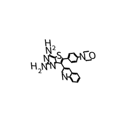 Nc1nc(N)c2sc(-c3ccc(N4CCOCC4)cc3)c(-c3cnc4ccccc4c3)c2n1